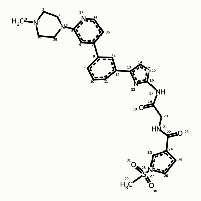 CN1CCN(c2cc(-c3cccc(-c4csc(NC(=O)CNC(=O)c5ccn(S(C)(=O)=O)c5)n4)c3)ccn2)CC1